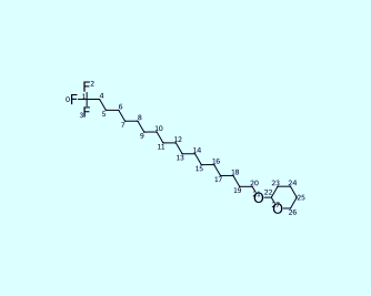 FC(F)(F)CCCCCCCCCCCCCCCCCOC1CCCCO1